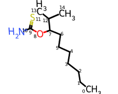 CCCCCCCC(OC(N)=S)C(C)C